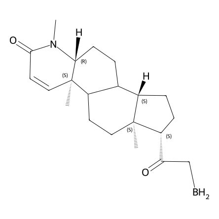 BCC(=O)[C@H]1CC[C@H]2C3CC[C@H]4N(C)C(=O)C=C[C@]4(C)C3CC[C@]12C